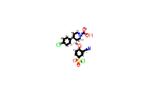 N#Cc1cc(S(=O)(=O)Cl)ccc1OC[C@H]1CN(C(=O)O)CC[C@@H]1c1ccc(Cl)cc1